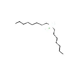 CCCCCCCC[Si](Cl)(Cl)CCCCCCC